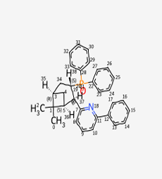 CC1(C)[C@@H]2C[C@H]1[C@H](c1cccc(-c3ccccc3)n1)[C@@H](P(=O)(c1ccccc1)c1ccccc1)C2